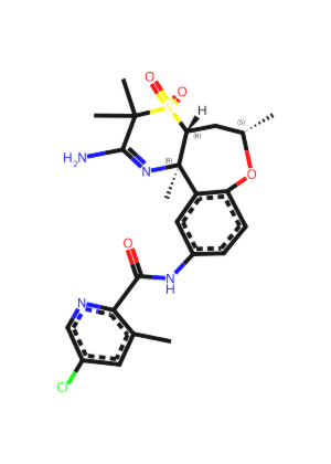 Cc1cc(Cl)cnc1C(=O)Nc1ccc2c(c1)[C@@]1(C)N=C(N)C(C)(C)S(=O)(=O)[C@@H]1C[C@H](C)O2